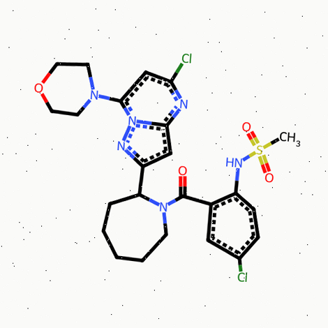 CS(=O)(=O)Nc1ccc(Cl)cc1C(=O)N1CCCCCC1c1cc2nc(Cl)cc(N3CCOCC3)n2n1